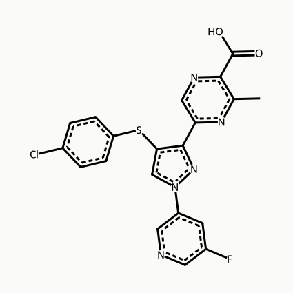 Cc1nc(-c2nn(-c3cncc(F)c3)cc2Sc2ccc(Cl)cc2)cnc1C(=O)O